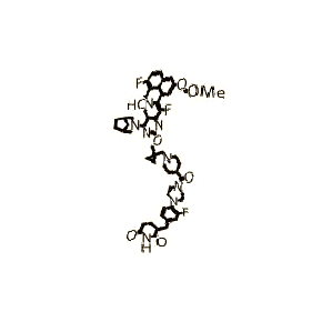 C#Cc1c(F)ccc2cc(OCOC)cc(-c3ncc4c(N5CC6CCC(C6)C5)nc(OCC5(CN6CCC(C(=O)N7CCN(c8ccc(CC9CCC(=O)NC9=O)cc8F)CC7)CC6)CC5)nc4c3F)c12